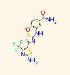 COc1ccc(C(N)=O)cc1Nc1nc(-c2sc(N)nc2C(F)(F)F)cs1